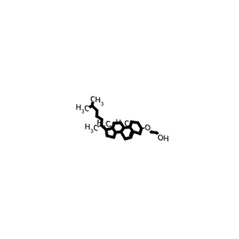 CC(C)CCC[C@@H](C)C1CCC2C3CC=C4C[C@@H](OCCO)CC[C@]4(C)C3CC[C@@]21C